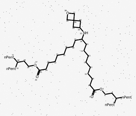 CCCCCC(CCCCC)CCOC(=O)CCCCCCCCC(CCCCCCCCC(=O)OCCC(CCCCC)CCCCC)NC1CC2(COC2)C1